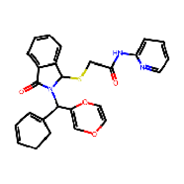 O=C(CSC1c2ccccc2C(=O)N1C(C1=CC=CCC1)C1=COC=CO1)Nc1ccccn1